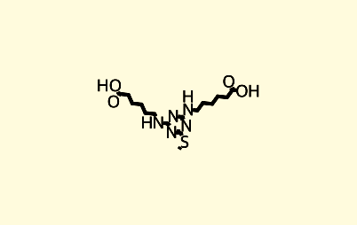 CSc1nc(NCCCCCC(=O)O)nc(NCCCCCC(=O)O)n1